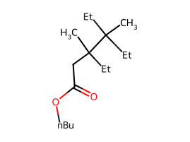 CCCCOC(=O)CC(C)(CC)C(C)(CC)CC